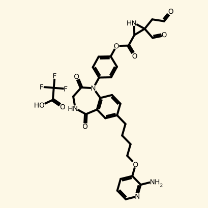 Nc1ncccc1OCCCCc1ccc2c(c1)C(=O)NCC(=O)N2c1ccc(OC(=O)C2NC2(C=O)CC=O)cc1.O=C(O)C(F)(F)F